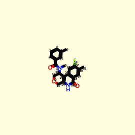 Cc1cccc(C(=O)N(C)C2COCc3[nH]c(=O)c4cc(C)c(F)cc4c32)c1